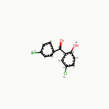 O=C(c1ccc(Br)cc1)c1cc(Cl)ccc1O